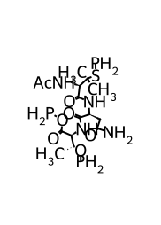 CC(=O)N[C@H](C(=O)N[C@@H](CC(N)=O)C(=O)N[C@H](C(=O)OP)[C@@H](C)OP)C(C)(C)SP